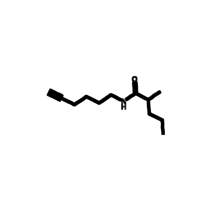 C#CCCCCNC(=O)C(C)CCC